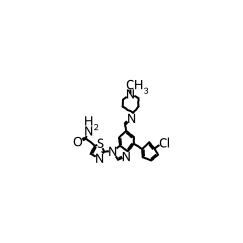 CN1CCC(N=Cc2cc(-c3cccc(Cl)c3)c3ncn(-c4ncc(C(N)=O)s4)c3c2)CC1